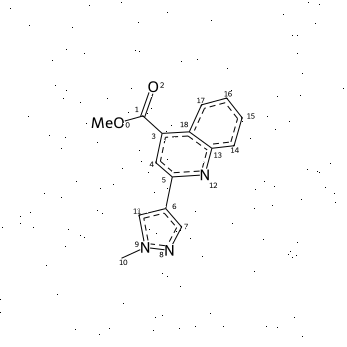 COC(=O)c1cc(-c2cnn(C)c2)nc2ccccc12